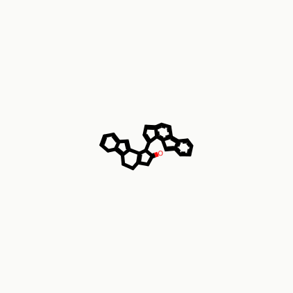 O=C1CC2=C(C3=CC4=CC=CCC4=C3CC2)C1C1=CC=c2ccc3c(c21)C=c1ccccc1=3